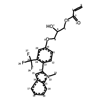 C=CC(=O)OCC(O)COc1ccc(-c2cc3ccccc3n2C)c(C(F)(F)F)c1